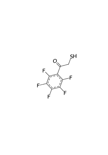 O=C(CS)c1c(F)c(F)c(F)c(F)c1F